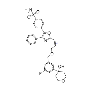 NS(=O)(=O)c1ccc(-c2oc(/C=C\COCc3cc(F)cc(C4(O)CCOCC4)c3)nc2-c2ccccc2)cc1